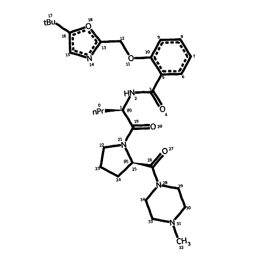 CCC[C@@H](NC(=O)c1ccccc1OCc1ncc(C(C)(C)C)o1)C(=O)N1CCC[C@@H]1C(=O)N1CCN(C)CC1